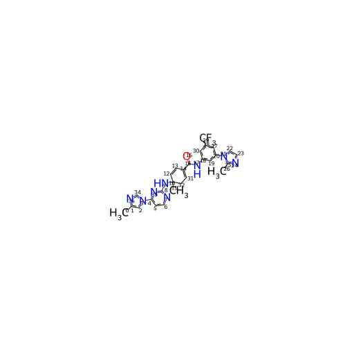 Cc1cn(-c2ccnc(NC3(C)C=CC(C(=O)Nc4cc(-n5ccnc5C)cc(C(F)(F)F)c4)=CC3)n2)cn1